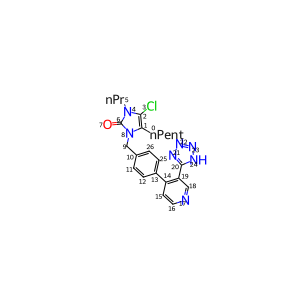 CCCCCc1c(Cl)n(CCC)c(=O)n1Cc1ccc(-c2ccncc2-c2nnn[nH]2)cc1